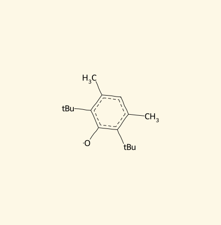 Cc1cc(C)c(C(C)(C)C)c([O])c1C(C)(C)C